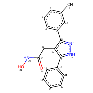 N#Cc1cccc(-c2n[nH]c(-c3ccccc3)c2CC(=O)NO)c1